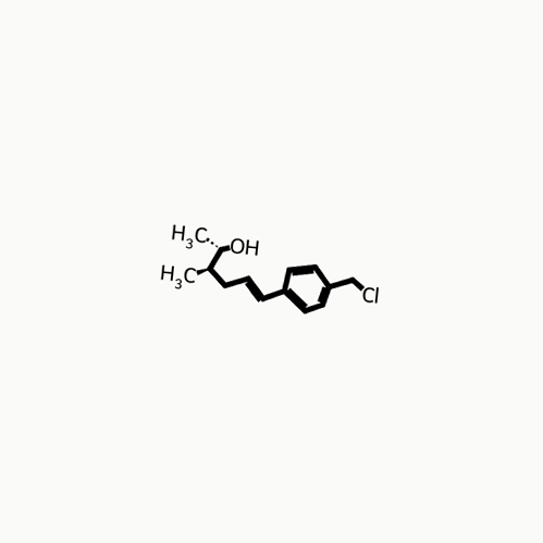 C[C@H](O)[C@H](C)C/C=C/c1ccc(CCl)cc1